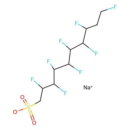 O=S(=O)([O-])CC(F)C(F)C(F)C(F)C(F)C(F)C(F)CCF.[Na+]